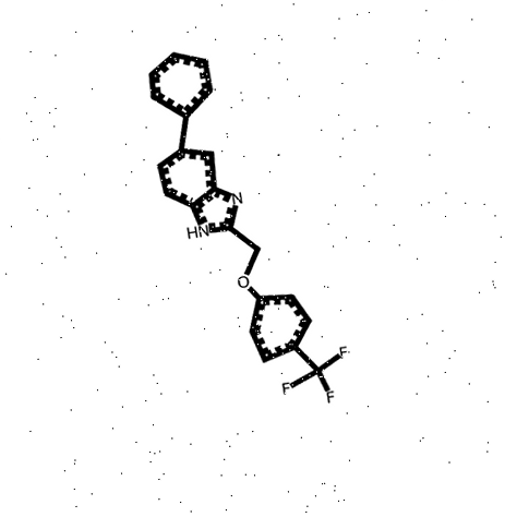 FC(F)(F)c1ccc(OCc2nc3cc(-c4[c]cccc4)ccc3[nH]2)cc1